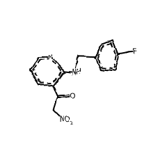 O=C(C[N+](=O)[O-])c1cccnc1NCc1ccc(F)cc1